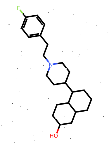 OC1CCC2C(CCCC2C2CCN(CCc3ccc(F)cc3)CC2)C1